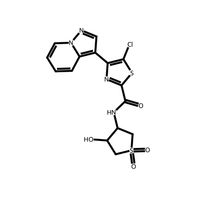 O=C(NC1CS(=O)(=O)CC1O)c1nc(-c2cnn3ccccc23)c(Cl)s1